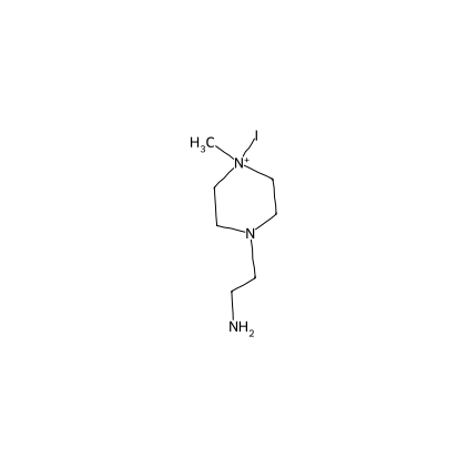 C[N+]1(I)CCN(CCN)CC1